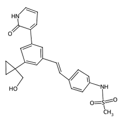 CS(=O)(=O)Nc1ccc(C=Cc2cc(-c3ccc[nH]c3=O)cc(C3(CO)CC3)c2)cc1